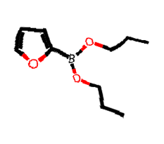 CCCOB(OCCC)c1ccco1